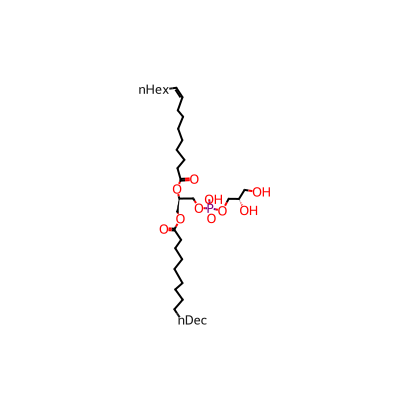 CCCCCC/C=C\CCCCCCCC(=O)O[C@H](COC(=O)CCCCCCCCCCCCCCCCCC)COP(=O)(O)OC[C@@H](O)CO